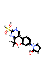 CC1(C)Oc2cc(N3CCCC3=O)ccc2-c2cnc(S(C)(=O)=O)nc21